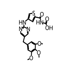 COc1cc(Cc2cnc(Nc3csc(C(=O)NC(=O)O)c3)nc2)cc(OC)c1OC